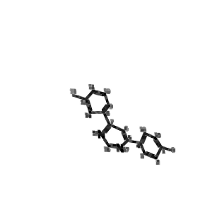 Cc1ccc(-c2cc(-c3cccc(C)c3)ncn2)cc1